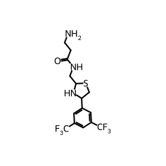 NCCC(=O)NCC1NC(c2cc(C(F)(F)F)cc(C(F)(F)F)c2)CS1